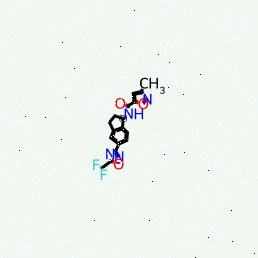 Cc1cc(C(=O)N[C@@H]2CCc3cc(-c4noc(C(F)F)n4)ccc32)on1